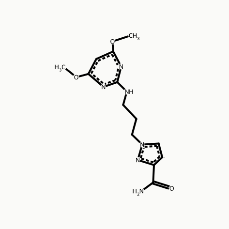 COc1cc(OC)nc(NCCCn2c[c]c(C(N)=O)n2)n1